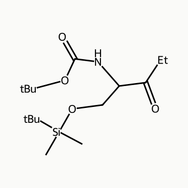 CCC(=O)C(CO[Si](C)(C)C(C)(C)C)NC(=O)OC(C)(C)C